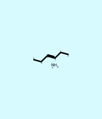 CC/C=C/CC.N